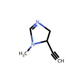 C#CC1CN=CN1C